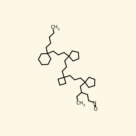 CCCCCC1(CCCC2(CCCC3(CCCC4(CC(CC)CCN=O)CCCC4)CCC3)CCCC2)CCCCC1